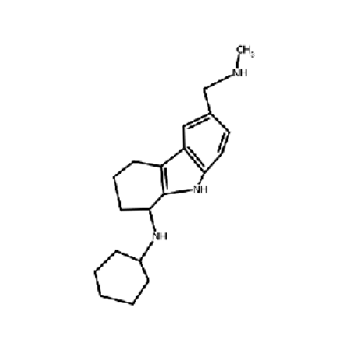 CNCc1ccc2[nH]c3c(c2c1)CCCC3NC1CCCCC1